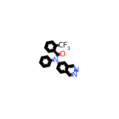 O=C(c1ccccc1C(F)(F)F)N(c1ccccc1)c1ccc2cnncc2c1